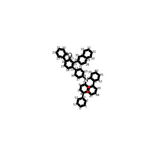 c1ccc(-c2ccc(N(c3ccc(-c4ccc5c(oc6ccccc65)c4-c4ccc5ccccc5c4)cc3)c3ccccc3-c3ccccc3)cc2)cc1